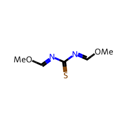 COC=NC(=S)N=COC